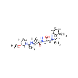 CCN(CCOC)/C(C)=N/C=C(\C)C(=O)NCC(O)CNC(C)Cc1ccccc1C